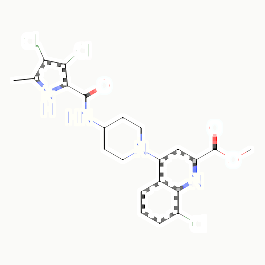 COC(=O)c1cc(N2CCC(NC(=O)c3[nH]c(C)c(Cl)c3Cl)CC2)c2cccc(Cl)c2n1